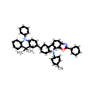 CC1(C)c2ccccc2N(c2ccccc2)c2ccc(-c3ccc4c(c3)c3ccc5nc(-c6ccccc6)oc5c3n4-c3ccc(C#N)cc3)cc21